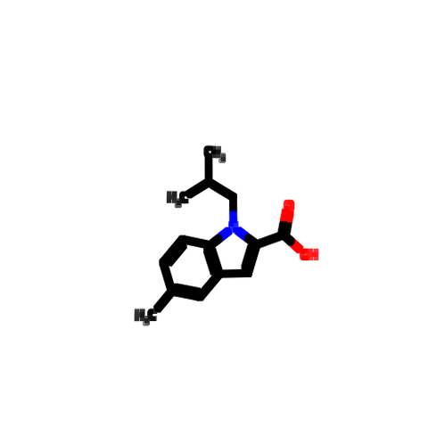 Cc1ccc2c(c1)cc(C(=O)O)n2CC(C)C